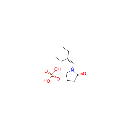 CCC(=CN1CCCC1=O)CC.O=S(=O)(O)O